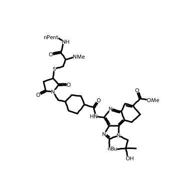 CCCCCNC(=O)C(CSC1CC(=O)N(CC2CCC(C(=O)Nc3nc4c(c5c3nc(CCCC)n5CC(C)(C)O)CCC(C(=O)OC)=C4)CC2)C1=O)NC